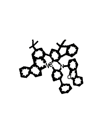 CC(C)(C)c1cc2c3c(c1)c1c4ccccc4ccc1n3B1c3ccc(-c4ccccc4)cc3N(c3cccc4c3oc3ccccc34)c3c1c-2cc1c3-c2ccccc2C1(C)C